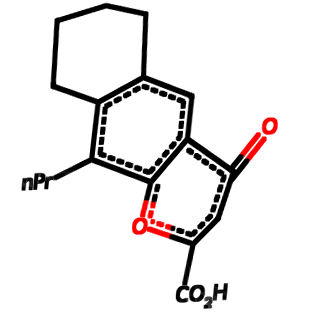 CCCc1c2c(cc3c(=O)cc(C(=O)O)oc13)CCCC2